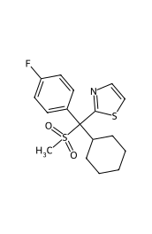 CS(=O)(=O)C(c1ccc(F)cc1)(c1nccs1)C1CCCCC1